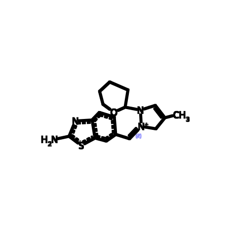 CC1=CN(C2CCCCO2)/[N+](=C\c2ccc3nc(N)sc3c2)C1